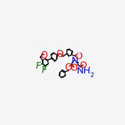 NC(=O)CCN(CC(=O)OCc1ccccc1)C(=O)c1cccc(COc2ccc(-c3cc(F)c(F)c4ccoc34)cc2)c1